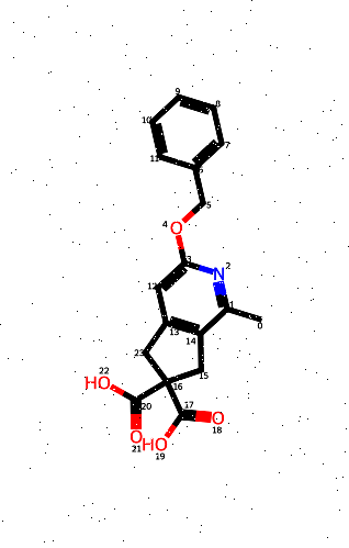 Cc1nc(OCc2ccccc2)cc2c1CC(C(=O)O)(C(=O)O)C2